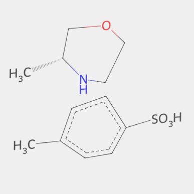 C[C@@H]1COCCN1.Cc1ccc(S(=O)(=O)O)cc1